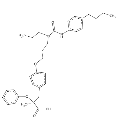 CCCCc1ccc(NC(=O)N(CCC)CCCOc2ccc(C[C@](C)(Oc3ccccc3)C(=O)O)cc2)cc1